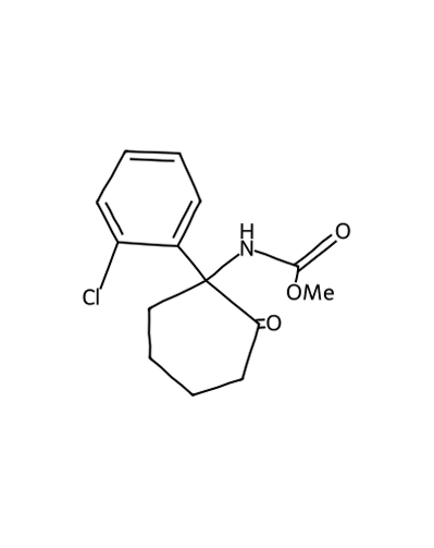 COC(=O)NC1(c2ccccc2Cl)CCCCC1=O